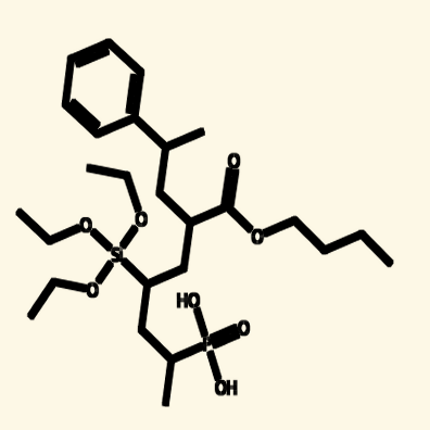 CCCCOC(=O)C(CC(C)c1ccccc1)CC(CC(C)P(=O)(O)O)[Si](OCC)(OCC)OCC